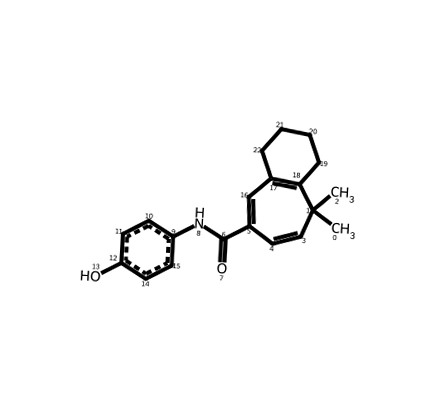 CC1(C)C=CC(C(=O)Nc2ccc(O)cc2)=CC2=C1CCCC2